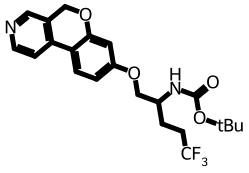 CC(C)(C)OC(=O)NC(CCC(F)(F)F)COc1ccc2c(c1)OCc1cnccc1-2